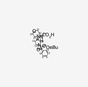 CCCCOc1ccccc1S(=O)(=O)N1CC[C@H]([N+]2(NC(=O)O)CCOCC2)C1